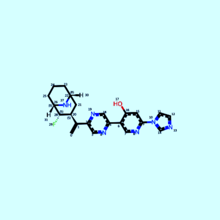 C=C(c1cnc(-c2cnc(-n3ccnc3)cc2O)cn1)[C@@H]1C[C@H]2CCC[C@H](N2)[C@H]1F